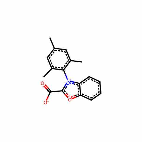 Cc1cc(C)c(-[n+]2c(C(=O)[O-])oc3ccccc32)c(C)c1